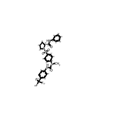 CN(C(=O)Nc1ccc(C(F)(F)F)cc1)c1ccc(S(=O)(=O)N2CCC[C@H]2C(=O)Nc2ccccc2)cc1